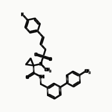 CN(C1(C(=O)NCc2cccc(-c3ccc(C(F)(F)F)cc3)c2)CC1)S(=O)(=O)CC=Cc1ccc(F)cc1